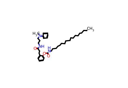 CCCCCCCCCCCCCCCCCCNC(=O)Oc1ccccc1CCC(=O)NCCCN(C)c1ccccc1